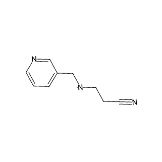 N#CCC[N]Cc1cccnc1